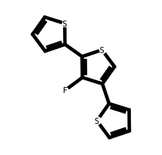 Fc1c(-c2cccs2)csc1-c1cccs1